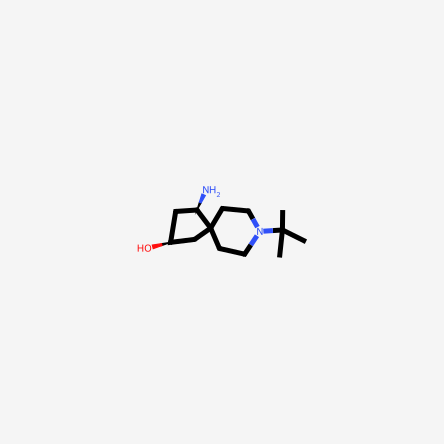 CC(C)(C)N1CCC2(CC1)C[C@@H](O)C[C@H]2N